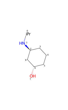 CC(C)N[C@H]1CCC[C@H](O)C1